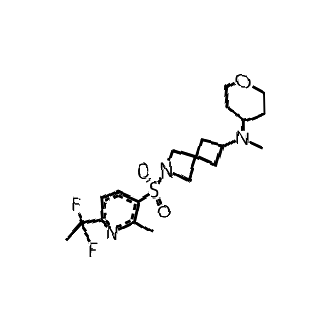 Cc1nc(C(C)(F)F)ccc1S(=O)(=O)N1CC2(CC(N(C)C3CCOCC3)C2)C1